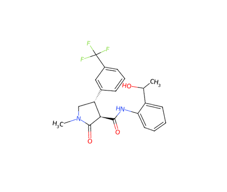 CC(O)c1ccccc1NC(=O)[C@H]1C(=O)N(C)C[C@@H]1c1cccc(C(F)(F)F)c1